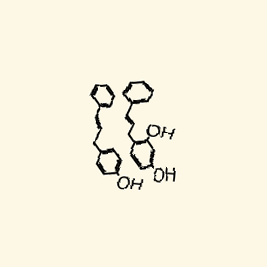 Oc1ccc(C/C=C/c2ccccc2)c(O)c1.Oc1ccc(C/C=C/c2ccccc2)cc1